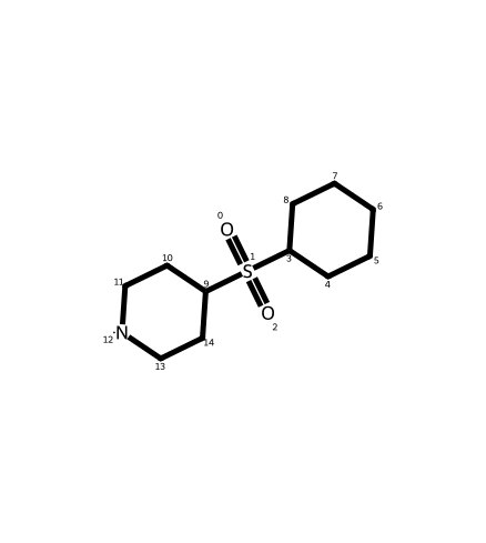 O=S(=O)(C1CCCCC1)C1CC[N]CC1